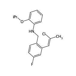 C/C(Cl)=C/c1cc(F)ccc1CNc1ccccc1OC(C)C